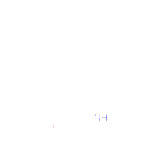 CCC(CCC(C)C)C([NH])=O